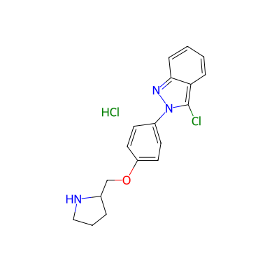 Cl.Clc1c2ccccc2nn1-c1ccc(OCC2CCCN2)cc1